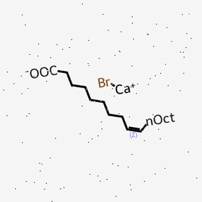 CCCCCCCC/C=C\CCCCCCCC(=O)[O-].[Ca+][Br]